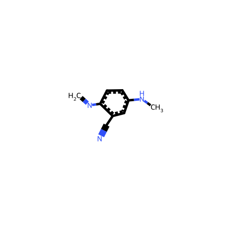 C=Nc1ccc(NC)cc1C#N